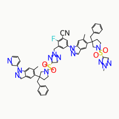 Cc1cc2c(cnn2-c2cc(C#N)c(F)c(Cn3ncc(S(=O)(=O)N4CCC(Cc5ccccc5)(c5cc6cnn(-c7cccnc7)c6cc5C)C4)n3)c2)cc1C1(Cc2ccccc2)CCN(S(=O)(=O)c2cnn(C)n2)C1